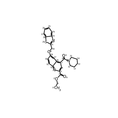 CCOC(=O)c1cc(C(=O)N2CCCCC2)c2cc(OCc3nc4ccccc4s3)ccc2n1